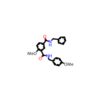 COc1ccc(CNC(=O)c2cc(C(=O)NCc3ccccc3)ccc2OC)cc1